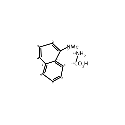 CNc1cccc2ccccc12.NC(=O)O